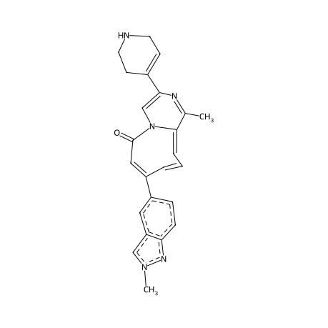 CC1=NC(C2=CCNCC2)=CN2C(=O)\C=C(c3ccc4nn(C)cc4c3)/C=C/C=C\12